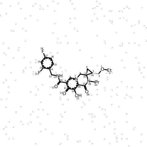 CCOC[C@H]1C[C@@]12Cn1cc(C(=O)NCc3ccc(F)cc3F)c(=O)c(O)c1C(=O)N2C(C)C